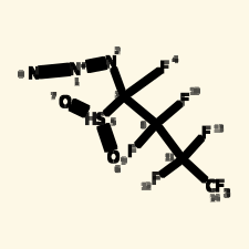 [N-]=[N+]=NC(F)([SH](=O)=O)C(F)(F)C(F)(F)C(F)(F)F